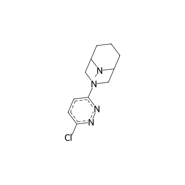 CN1C2CCCC1CN(c1ccc(Cl)nn1)C2